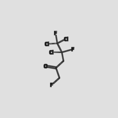 O=C(CF)CC(F)(Cl)C(F)(Cl)Cl